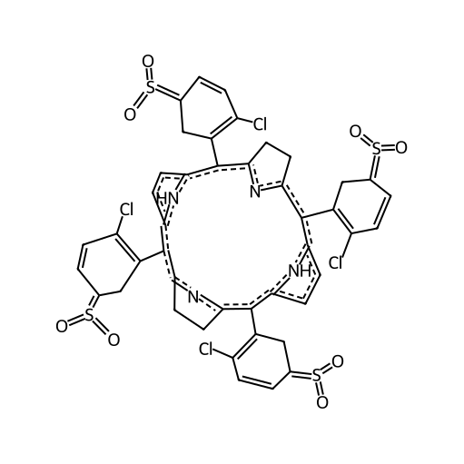 O=S(=O)=C1C=CC(Cl)=C(c2c3nc(c(C4=C(Cl)C=CC(=S(=O)=O)C4)c4ccc([nH]4)c(C4=C(Cl)C=CC(=S(=O)=O)C4)c4nc(c(C5=C(Cl)C=CC(=S(=O)=O)C5)c5ccc2[nH]5)CC4)CC3)C1